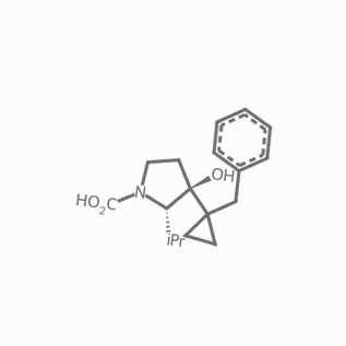 CC(C)[C@@H]1N(C(=O)O)CC[C@]1(O)C1(Cc2ccccc2)CC1